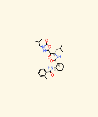 Cc1ccccc1C(=O)N[C@H]1CCCC[C@H]1C(=O)N[C@@H](CC(C)C)C(=O)c1nn(CC(C)C)c(=O)o1